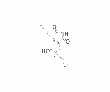 O=c1[nH]c(=O)n(CC2(CO)CC2CO)cc1CCF